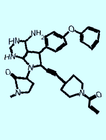 C=CC(=O)N1CCC(C#CC2C(c3ccc(Oc4ccccc4)cc3)C3C(N)NCNC3N2C2CCN(C)C2=O)CC1